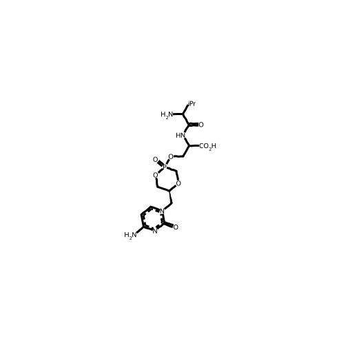 CC(C)C(N)C(=O)NC(COP1(=O)CO[C@@H](Cn2ccc(N)nc2=O)CO1)C(=O)O